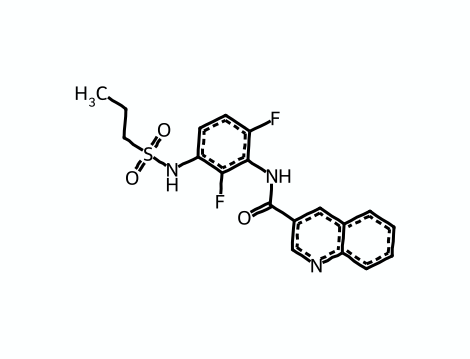 CCCS(=O)(=O)Nc1ccc(F)c(NC(=O)c2cnc3ccccc3c2)c1F